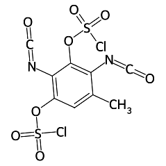 Cc1cc(OS(=O)(=O)Cl)c(N=C=O)c(OS(=O)(=O)Cl)c1N=C=O